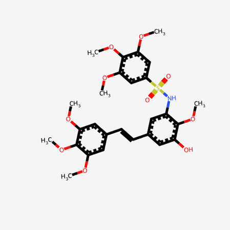 COc1cc(C=Cc2cc(O)c(OC)c(NS(=O)(=O)c3cc(OC)c(OC)c(OC)c3)c2)cc(OC)c1OC